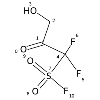 O=C(CO)C(F)(F)S(=O)(=O)F